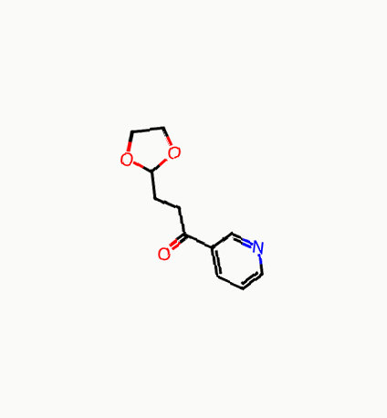 O=C(CCC1OCCO1)c1cccnc1